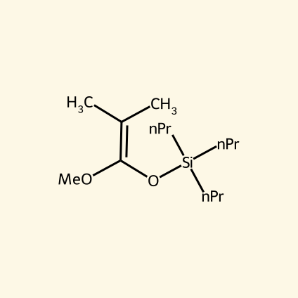 CCC[Si](CCC)(CCC)OC(OC)=C(C)C